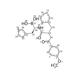 COc1ccc(C(=O)CC(Cc2ccccc2)C(=O)N[C@@H](Cc2ccsc2)B(O)O)cc1